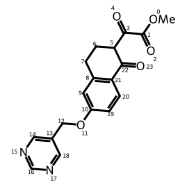 COC(=O)C(=O)C1CCc2cc(OCc3cncnc3)ccc2C1=O